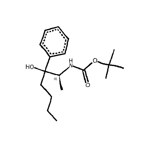 CCCCC(O)(c1ccccc1)[C@H](C)NC(=O)OC(C)(C)C